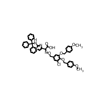 COc1ccc(COc2cc(CO/N=C(\C(=O)O)c3csc(NC(c4ccccc4)(c4ccccc4)c4ccccc4)n3)cc(Cl)c2OCc2ccc(OC)cc2)cc1